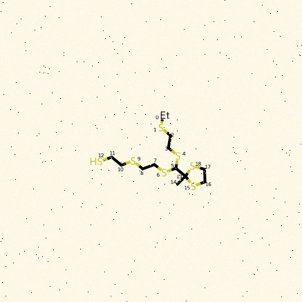 CCSCCSC(SCCSCCS)C1(C)SCCS1